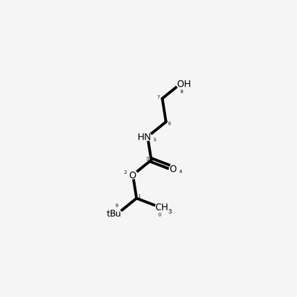 CC(OC(=O)NCCO)C(C)(C)C